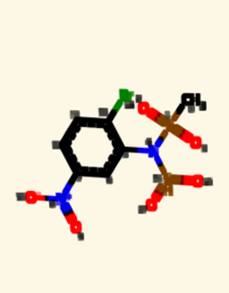 CS(=O)(=O)N(c1cc([N+](=O)[O-])ccc1Br)[SH](=O)=O